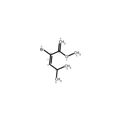 C=C(OC)/C(Br)=C\C(C)C